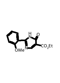 CCOC(=O)c1cnc(-c2ccccc2OC)[nH]c1=O